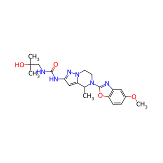 COc1ccc2oc(N3CCn4nc(NC(=O)NCC(C)(C)O)cc4C3C)nc2c1